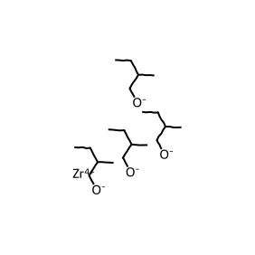 CCC(C)C[O-].CCC(C)C[O-].CCC(C)C[O-].CCC(C)C[O-].[Zr+4]